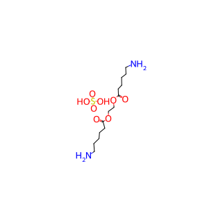 NCCCCCC(=O)OCCOC(=O)CCCCCN.O=S(=O)(O)O